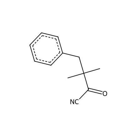 CC(C)(Cc1ccccc1)C(=O)C#N